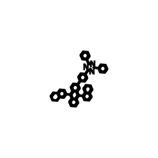 C1=Cc2ccc(-c3c4ccccc4c(-c4cccc5ccccc45)c4cc(-c5ccc(-c6nc(-c7ccccc7)nc(-c7ccccc7)n6)cc5)ccc34)cc2CC1